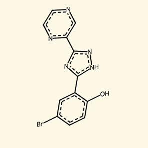 Oc1ccc(Br)cc1-c1nc(-c2cnccn2)n[nH]1